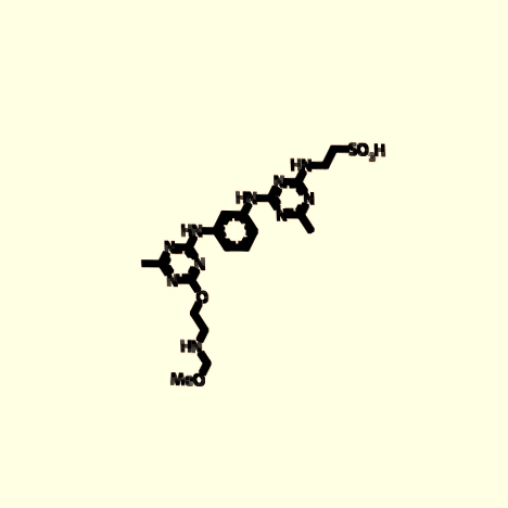 COCNCCOc1nc(C)nc(Nc2cccc(Nc3nc(C)nc(NCCS(=O)(=O)O)n3)c2)n1